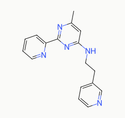 Cc1cc(NCCc2cccnc2)nc(-c2ccccn2)n1